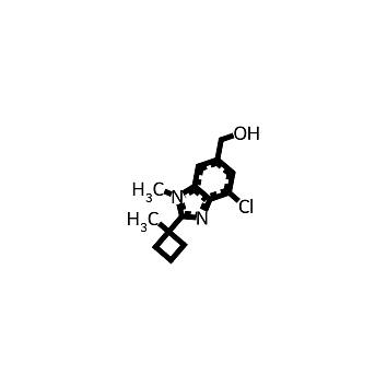 Cn1c(C2(C)CCC2)nc2c(Cl)cc(CO)cc21